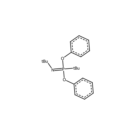 CC(C)(C)N=P(Oc1ccccc1)(Oc1ccccc1)C(C)(C)C